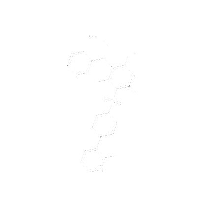 CCCCc1nc(=O)c(S(=O)(=O)c2ccc(-c3cccnc3C)cc2)c(O)n1[C@@H](COC)c1ccccc1